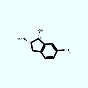 CN[C@H]1Cc2ccc(C)cc2[C@H]1O